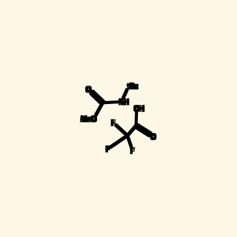 COC(=O)NC(C)(C)C.O=C(O)C(F)(F)F